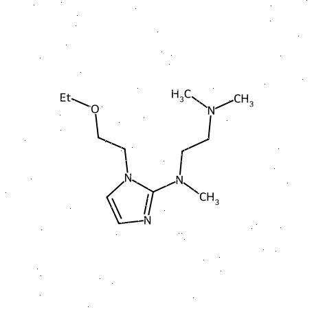 CCOCCn1ccnc1N(C)CCN(C)C